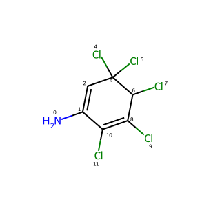 NC1=CC(Cl)(Cl)C(Cl)C(Cl)=C1Cl